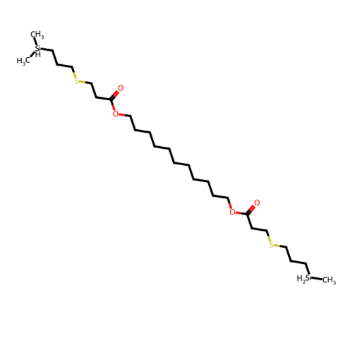 C[SiH2]CCCSCCC(=O)OCCCCCCCCCCCOC(=O)CCSCCC[SiH](C)C